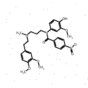 COc1cc(N(CCCN(C)CCc2ccc(OC)c(OC)c2)C(=O)c2ccc([N+](=O)[O-])cc2)ccc1O